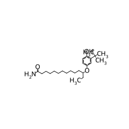 CCC(CCCCCCCCCCC(N)=O)Oc1ccc(O)c(C(C)(C)C)c1